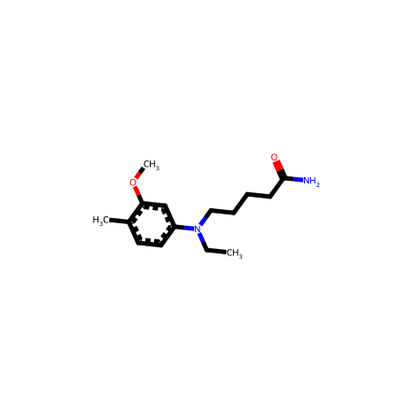 CCN(CCCCC(N)=O)c1ccc(C)c(OC)c1